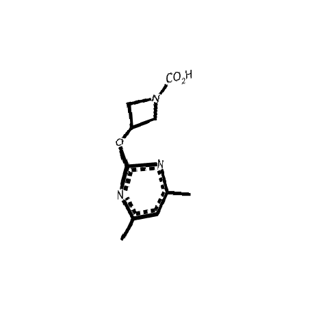 Cc1cc(C)nc(OC2CN(C(=O)O)C2)n1